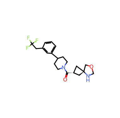 O=C([C@H]1C[C@]2(COCN2)C1)N1CCC(c2cccc(CC(F)(F)F)c2)CC1